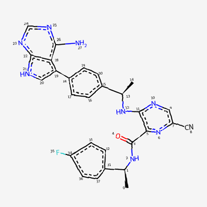 C[C@H](NC(=O)c1nc(C#N)cnc1N[C@H](C)c1ccc(-c2c[nH]c3ncnc(N)c23)cc1)c1ccc(F)cc1